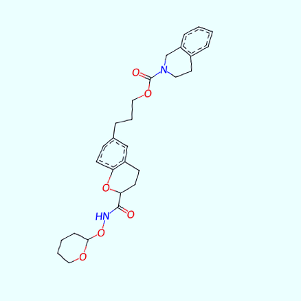 O=C(NOC1CCCCO1)C1CCc2cc(CCCOC(=O)N3CCc4ccccc4C3)ccc2O1